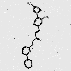 Cc1cn(-c2ccc(/C=C/C(=O)NCc3cccc(-c4ccccc4)n3)cc2C)cn1